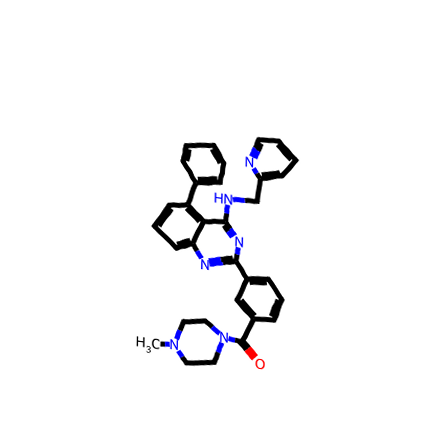 CN1CCN(C(=O)c2cccc(-c3nc(NCc4ccccn4)c4c(-c5ccccc5)cccc4n3)c2)CC1